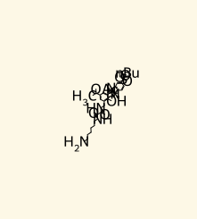 CCCCOS(=O)(=O)c1ccc2nn(-c3cc(C(C)OC(C)=O)cc(CNC(=O)C(=O)NCCCCCCN)c3O)nc2c1